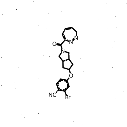 N#Cc1ccc(OC2CC3CN(C(=O)C4=CC=CCN=N4)CC3C2)cc1Br